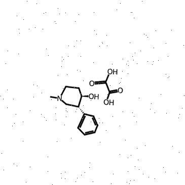 CN1CC[C@@H](O)[C@H](c2ccccc2)C1.O=C(O)C(=O)O